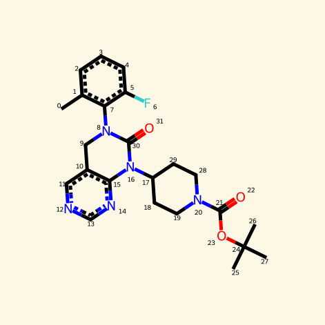 Cc1cccc(F)c1N1Cc2cncnc2N(C2CCN(C(=O)OC(C)(C)C)CC2)C1=O